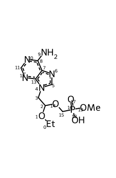 CCOC(Cn1cnc2c(N)ncnc21)OCP(=O)(O)OC